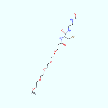 COCCOCCOCCOCCOCCC(=O)NC(CS)C(=O)NCCNC=O